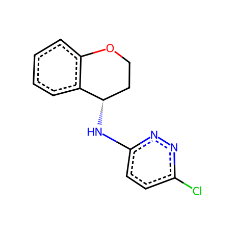 Clc1ccc(N[C@H]2CCOc3ccccc32)nn1